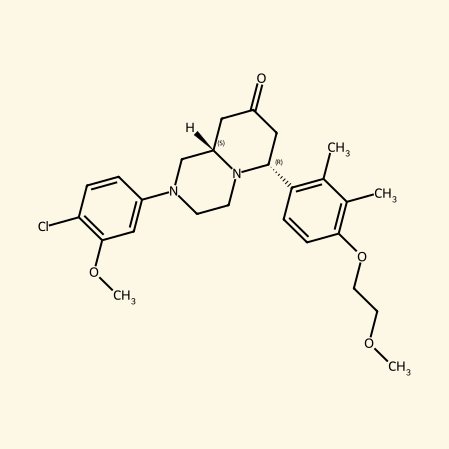 COCCOc1ccc([C@H]2CC(=O)C[C@H]3CN(c4ccc(Cl)c(OC)c4)CCN32)c(C)c1C